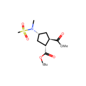 COC(=O)[C@@H]1C[C@@H](N(C)S(C)(=O)=O)C[C@H]1C(=O)OC(C)(C)C